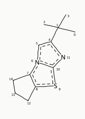 CC(C)(C)c1cn2c3c(sc2n1)CCC3